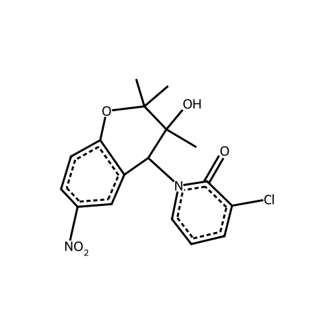 CC1(C)Oc2ccc([N+](=O)[O-])cc2C(n2cccc(Cl)c2=O)C1(C)O